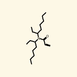 C=CC(=O)N(C(CC)CCCCC)C(CC)CCCCC